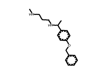 CNCCCNC(C)c1ccc(OCc2ccccc2)cc1